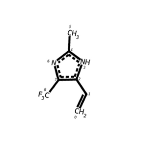 C=Cc1[nH]c(C)nc1C(F)(F)F